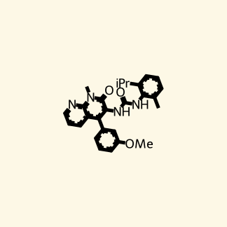 COc1cccc(-c2c(NC(=O)Nc3c(C)cccc3C(C)C)c(=O)n(C)c3ncccc23)c1